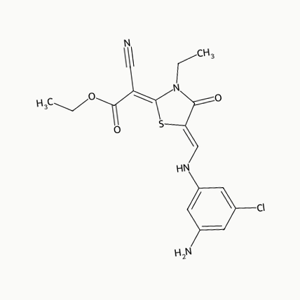 CCOC(=O)C(C#N)=c1sc(=CNc2cc(N)cc(Cl)c2)c(=O)n1CC